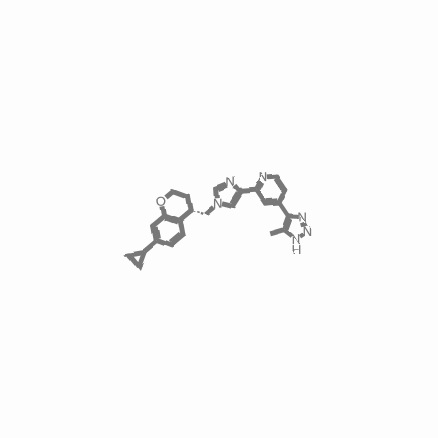 Cc1[nH]nnc1-c1ccnc(-c2cn(C[C@H]3CCOc4cc(C5CC5)ccc43)cn2)c1